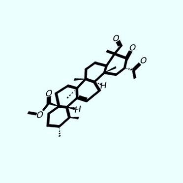 COC(=O)[C@]12CC[C@@H](C)[C@H](C)[C@H]1C1=CC[C@@H]3[C@@]4(C)C[C@@H](C(C)=O)C(=O)C(C)(C=O)C4CC[C@@]3(C)[C@]1(C)CC2